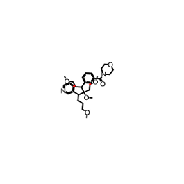 COCCC[C](c1cccnc1)C(CCOC)(OC)C(CCOC)c1cccc(C(=O)N2CCOCC2)c1